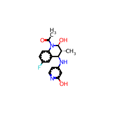 CC(=O)N1c2ccc(F)cc2[C@H](Nc2ccnc(O)c2)[C@@H](C)[C@@H]1O